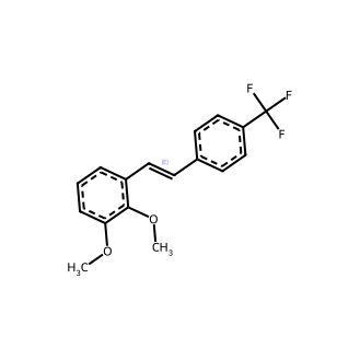 COc1cccc(/C=C/c2ccc(C(F)(F)F)cc2)c1OC